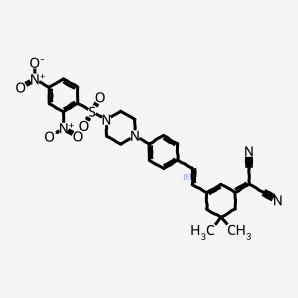 CC1(C)CC(/C=C/c2ccc(N3CCN(S(=O)(=O)c4ccc([N+](=O)[O-])cc4[N+](=O)[O-])CC3)cc2)=CC(=C(C#N)C#N)C1